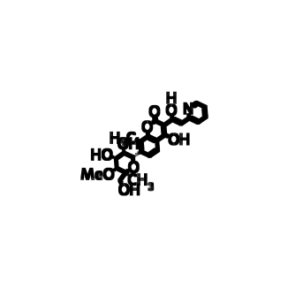 CO[C@@H]1[C@H](O)[C@@H](O)[C@H](c2ccc3c(O)c(C(O)=Cc4ccccn4)c(=O)oc3c2C)O[C@]1(C)CO